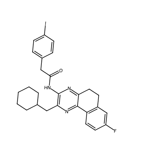 O=C(Cc1ccc(I)cc1)Nc1nc2c(nc1CC1CCCCC1)-c1ccc(F)cc1CC2